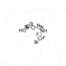 COc1cc(-c2cc(NCCc3c(F)cc(Br)cc3F)ncn2)ccc1-c1cc(O)no1